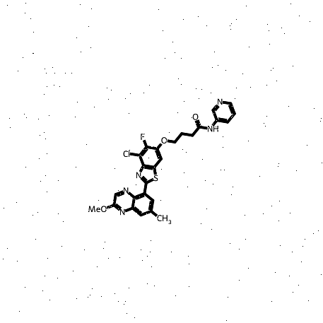 COc1cnc2c(-c3nc4c(Cl)c(F)c(OCCCC(=O)Nc5cccnc5)cc4s3)cc(C)cc2n1